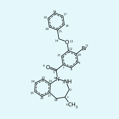 CC1CNN(C(=O)c2ccc(Br)c(OCc3ccccc3)c2)c2ccccc2C1